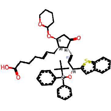 CC(C)(C)[Si](O[C@H](/C=C/[C@H]1C(=O)C[C@H](OC2CCCCO2)[C@@H]1CC=CCCCC(=O)O)c1cc2ccccc2s1)(c1ccccc1)c1ccccc1